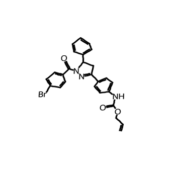 C=CCOC(=O)Nc1ccc(C2=NN(C(=O)c3ccc(Br)cc3)C(c3ccccc3)C2)cc1